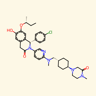 CC[C@@H](C)Oc1cc2c(cc1O)CC(=O)N(c1ccc(N(C)C[C@H]3CC[C@H](N4CCN(C)C(=O)C4)CC3)nc1)[C@H]2c1ccc(Cl)cc1